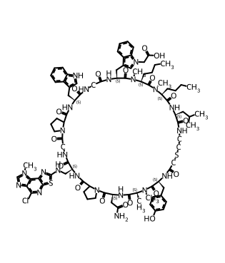 CCCC[C@H]1C(=O)N(C)[C@@H](CCCC)C(=O)N[C@@H](CC(C)C)C(=O)NCCSCC(=O)N[C@@H](Cc2ccc(O)cc2)C(=O)N(C)[C@@H](C)C(=O)N[C@@H](CC(N)=O)C(=O)N2CCCC2C(=O)N[C@@H](CNc2nc3c(nc(Cl)c4ncn(C)c43)s2)C(=O)NCC(=O)N2CCCC2C(=O)N[C@@H](Cc2c[nH]c3ccccc23)C(=O)NCC(=O)N[C@@H](Cc2cn(CC(=O)O)c3ccccc23)C(=O)N1C